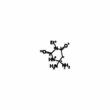 CCN1C(=O)CC(N)(N)NC1=O